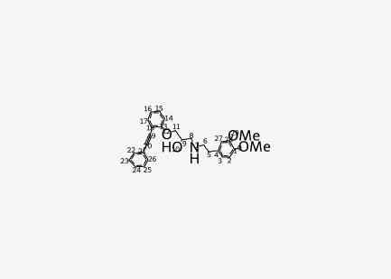 COc1ccc(CCNCC(O)COc2ccccc2C#Cc2ccccc2)cc1OC